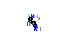 CNc1cc2c(cn1)C=CC(C)(c1cc(N)c(F)cc1C)N2